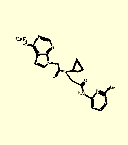 O=CNc1ncnc2c1ccn2CC(=O)N(CC(=O)Nc1cccc(Br)n1)C1CC1